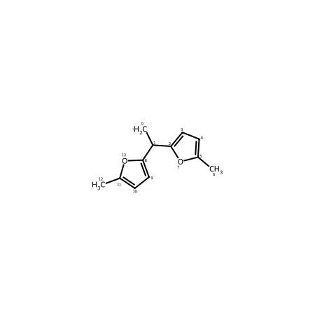 [CH2]C(c1ccc(C)o1)c1ccc(C)o1